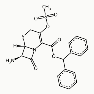 CS(=O)(=O)OC1=C(C(=O)OC(c2ccccc2)c2ccccc2)N2C(=O)[C@@H](N)[C@@H]2SC1